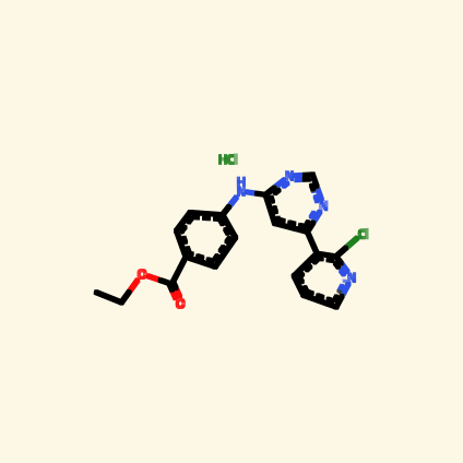 CCOC(=O)c1ccc(Nc2cc(-c3cccnc3Cl)ncn2)cc1.Cl